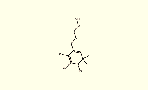 CCN1C(C(C)C)=C(C(C)C)C(CSOOO)=CC1(C)C